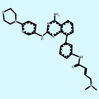 CN(C)CC=CC(=O)Nc1cccc(-c2cccc3c(N)nc(Nc4ccc(N5CCOCC5)nc4)nc23)c1